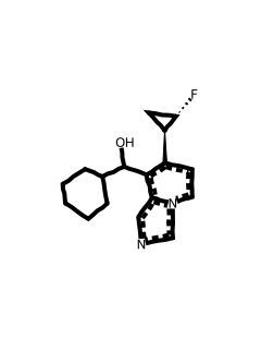 OC(c1c([C@H]2C[C@@H]2F)ccn2cncc12)C1CCCCC1